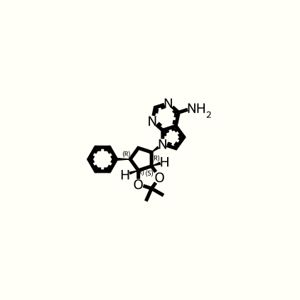 CC1(C)O[C@@H]2[C@H](O1)[C@@H](c1ccccc1)C[C@H]2n1ccc2c(N)ncnc21